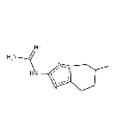 CC1CCc2nc(NC(=N)N)sc2C1